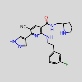 N#Cc1cc(C(=O)NC[C@H]2CCCN2)c(NCCc2cccc(F)c2)nc1-c1cn[nH]c1